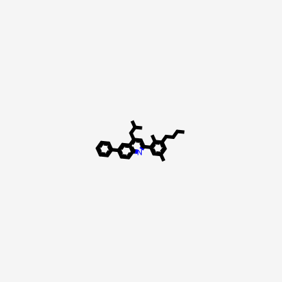 CCCCc1cc(C)cc(-c2cc(CC(C)C)c3cc(-c4ccccc4)ccc3n2)c1C